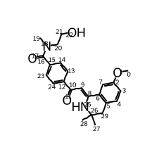 COc1ccc2c(c1)/C(=C/C(=O)c1ccc(C(=O)N(C)CCO)cc1)NC(C)(C)C2